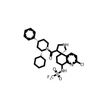 O=C(C1CNC[C@]12CCC(NS(=O)(=O)C(F)(F)F)c1nc(Cl)ccc12)N1CC[C@@H](c2ccccc2)C[C@H]1C1CCCCC1